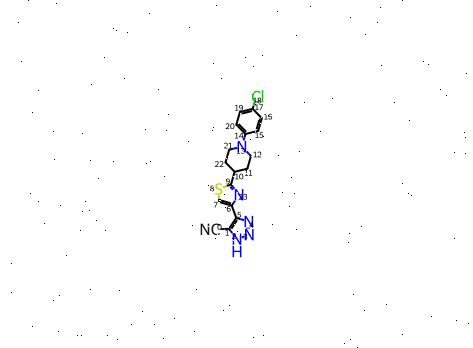 N#Cc1[nH]nnc1-c1csc(C2CCN(c3ccc(Cl)cc3)CC2)n1